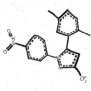 Cc1ccc(C)c(-c2cc(C(F)(F)F)nn2-c2ccc([SH](=O)=O)cc2)c1